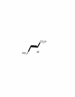 O=C(O)/C=C/C(=O)O.[Al]